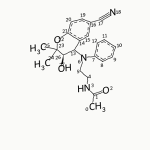 CC(=O)NCCN(c1ccccc1)C1c2cc(C#N)ccc2OC(C)(C)[C@@H]1O